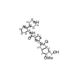 COc1cc2c(cc1CO)C(=O)N(c1nc(C(=O)Nc3cccnc3N3CCNCC3)cs1)C2